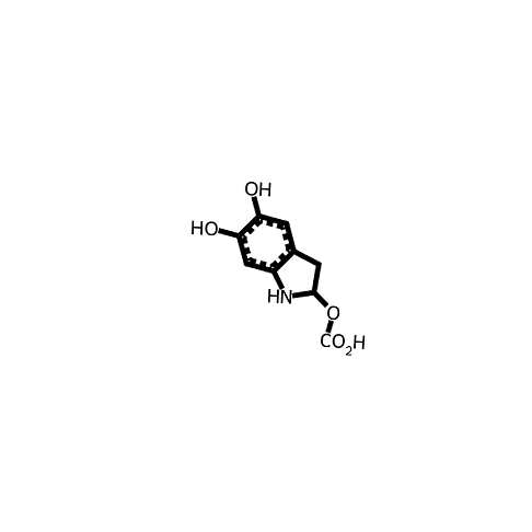 O=C(O)OC1Cc2cc(O)c(O)cc2N1